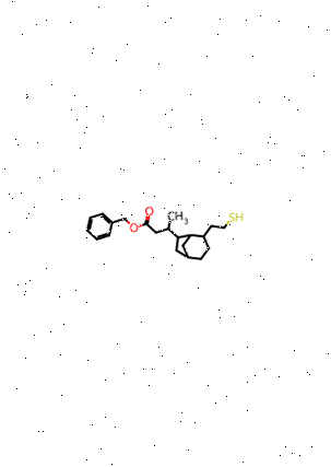 CC(CC(=O)OCc1ccccc1)C1CC2CCC(CCS)C1C2